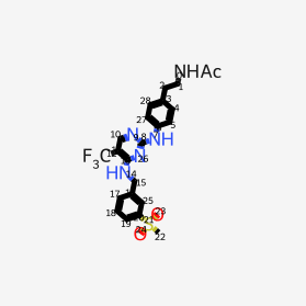 CC(=O)NCCc1ccc(Nc2ncc(C(F)(F)F)c(NCc3cccc(S(C)(=O)=O)c3)n2)cc1